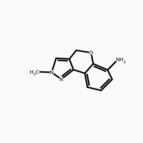 Cn1cc2c(n1)-c1cccc(N)c1OC2